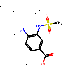 CS(=O)(=O)Nc1cc(C(=O)O)ccc1N